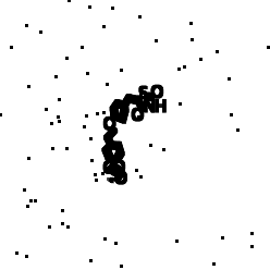 CS(=O)(=O)Oc1ccc(CCOc2ccc(C=C3SC(=O)NC3=O)cc2)cc1